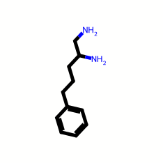 NCC(N)CCCc1ccccc1